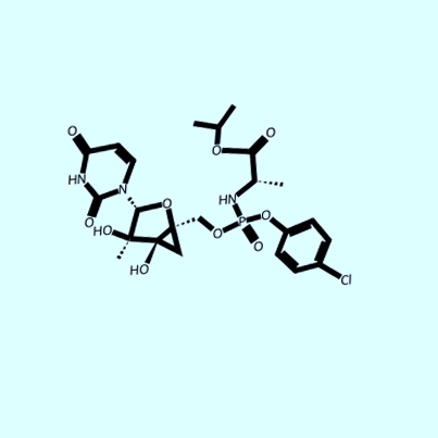 CC(C)OC(=O)[C@H](C)NP(=O)(OC[C@]12C[C@]1(O)[C@@](C)(O)[C@H](n1ccc(=O)[nH]c1=O)O2)Oc1ccc(Cl)cc1